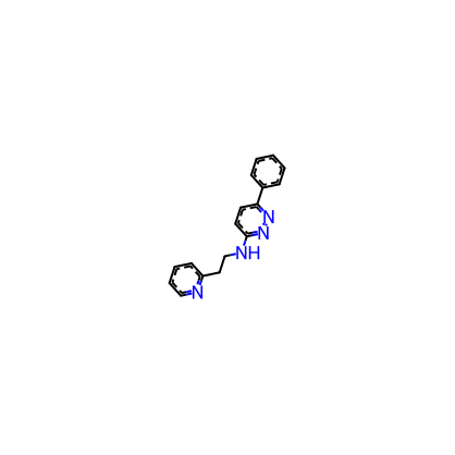 c1ccc(-c2ccc(NCCc3ccccn3)nn2)cc1